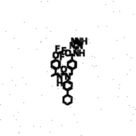 CC(NC(=O)N(Cc1ccc(C(=O)Nc2nn[nH]n2)cc1)c1ccc(C2CCCCC2)cc1)c1ccc(OC(F)(F)F)cc1